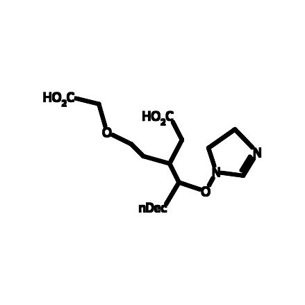 CCCCCCCCCCC(ON1C=NCC1)C(CCOCC(=O)O)CC(=O)O